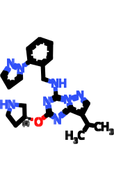 CC(C)c1cnn2c(NCc3ccccc3-n3cccn3)nc(O[C@@H]3CCNC3)nc12